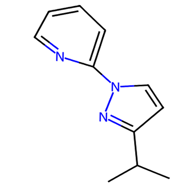 CC(C)c1ccn(-c2ccccn2)n1